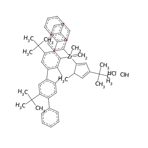 Cl.Cl.[CH2]=[Zr]([CH3])([C]1=CC(C(C)(C)C)=CC1C)([c]1ccc2ccccc2c1)[c]1c2c(cc(C(C)(C)C)c1-c1ccccc1)-c1cc(C(C)(C)C)c(-c3ccccc3)cc1C2